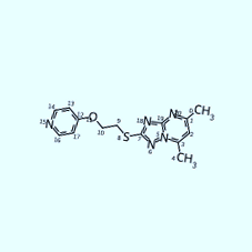 Cc1cc(C)n2nc(SCCOc3ccncc3)nc2n1